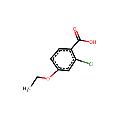 CCOc1ccc(C(=O)O)c(Cl)c1